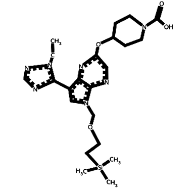 CCn1ncnc1-c1cn(COCC[Si](C)(C)C)c2ncc(OC3CCN(C(=O)O)CC3)nc12